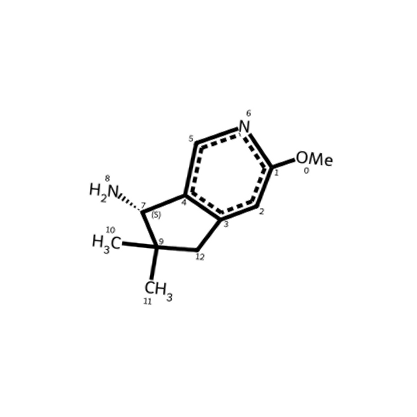 COc1cc2c(cn1)[C@@H](N)C(C)(C)C2